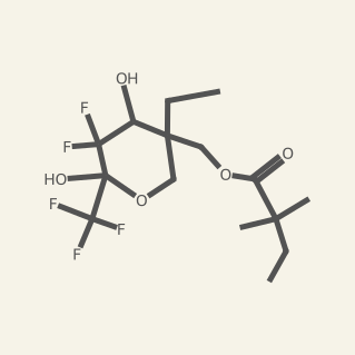 CCC(C)(C)C(=O)OCC1(CC)COC(O)(C(F)(F)F)C(F)(F)C1O